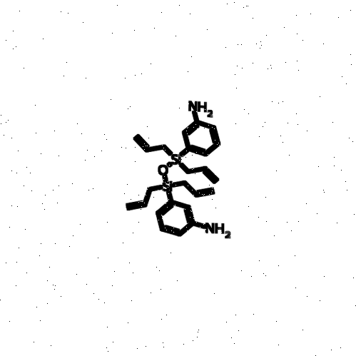 C=CC[Si](CC=C)(O[Si](CC=C)(CC=C)c1cccc(N)c1)c1cccc(N)c1